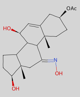 CC(=O)O[C@H]1CC[C@@]2(C)C(=C[C@H](O)C3C2C(=NO)C[C@@]2(C)C3CC[C@@H]2O)C1